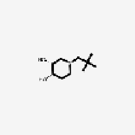 CC(C)(C)CN1CC[C@H](O)[C@H](O)C1